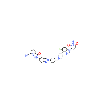 CN1CN(C2CCC(=O)NC2=O)c2ccc(F)c(C3CCN(C[C@H]4CC[C@H](n5cc6cc(NC(=O)c7cccc(C#N)n7)ccc6n5)CC4)CC3)c21